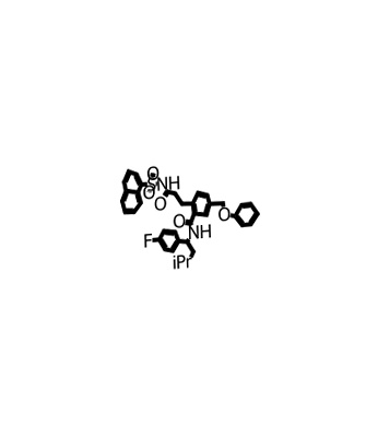 CC(C)CC(NC(=O)c1cc(COc2ccccc2)ccc1CCC(=O)NS(=O)(=O)c1cccc2ccccc12)c1ccc(F)cc1